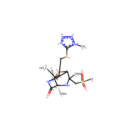 CCS(=O)(=O)CC1(OC)N[C@@]2(OC)C(=O)N3C(C(=O)O)=C(CSc4nnnn4C)C1S[C@H]32